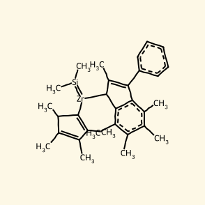 CC1=C(C)C(C)[C]([Zr]([CH]2C(C)=C(c3ccccc3)c3c(C)c(C)c(C)c(C)c32)=[Si](C)C)=C1C